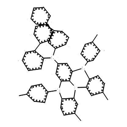 Cc1ccc(N2c3ccc(C)cc3B3c4cc(C)ccc4N(c4ccc(C)cc4)c4cc(N(c5cccc(-c6ccccc6)c5)c5ccccc5-c5ccccc5)cc2c43)cc1